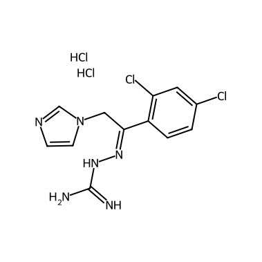 Cl.Cl.N=C(N)NN=C(Cn1ccnc1)c1ccc(Cl)cc1Cl